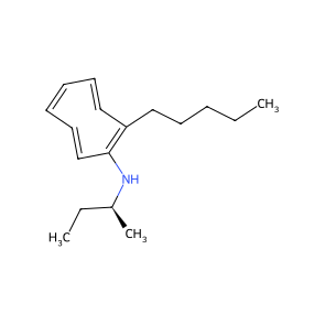 CCCCCC1=C(N[C@@H](C)CC)/C=C/C=C\C=C\1